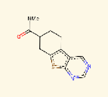 CNC(=O)C1CCc2c(sc3ncncc23)C1